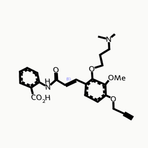 C#CCOc1ccc(/C=C/C(=O)Nc2ccccc2C(=O)O)c(OCCCN(C)C)c1OC